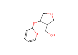 OCC1COCC1OC1C=CC=CO1